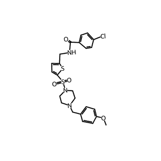 COc1ccc(CN2CCN(S(=O)(=O)c3ccc(CNC(=O)c4ccc(Cl)cc4)s3)CC2)cc1